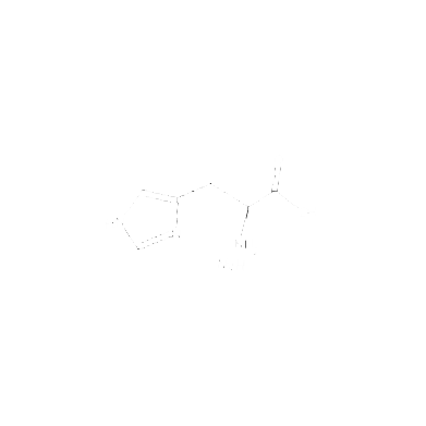 NC(Cc1c[nH]cn1)C(=O)O.[NaH]